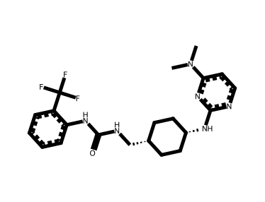 CN(C)c1ccnc(N[C@H]2CC[C@@H](CNC(=O)Nc3ccccc3C(F)(F)F)CC2)n1